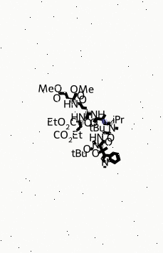 CCOC(=O)CC[C@H](NC(=O)[C@H](CCC(=O)N[C@@H](CCC(=O)OC)C(=O)OC)NC(=O)/C(C)=C/[C@H](C(C)C)N(C)C(=O)C(NC(=O)[C@@H](N(C)C(=O)OC(C)(C)C)C(C)(C)c1cn(C)c2ccccc12)C(C)(C)C)C(=O)OCC